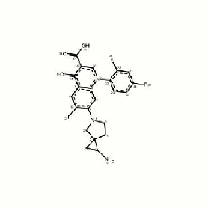 NC1CC12CCN(c1cc3c(cc1F)c(=O)c(C(=O)O)cn3-c1ccc(F)cc1F)C2